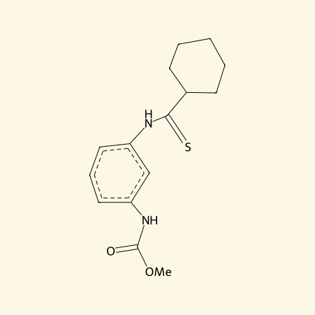 COC(=O)Nc1cccc(NC(=S)C2CCCCC2)c1